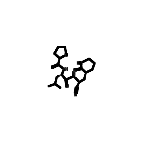 CC(C)C[C@H](NC(=O)[C@H]1CCCO1)C(=O)N[C@H](C#N)C[C@@H]1CCCNC1=O